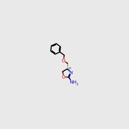 NC1=N[C@@H](COCc2ccccc2)CO1